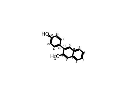 Cc1[c]c2ccccc2cc1-c1ccc(O)cc1